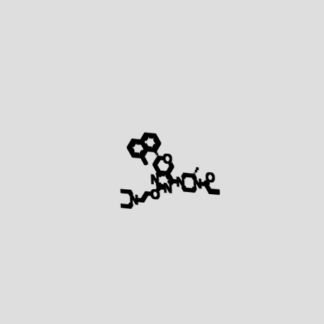 C=CC(=O)N1CCN(c2nc(OCCN(CC)CC)nc3c2CO[C@@H](c2cccc4cccc(C)c24)C3)C[C@@H]1C